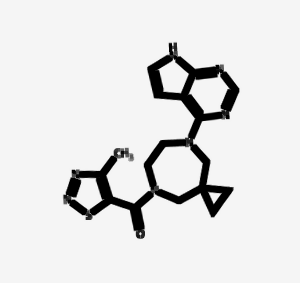 Cc1nnsc1C(=O)N1CCN(c2ncnc3[nH]ccc23)CC2(CC2)C1